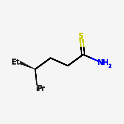 CC[C@H](CCC(N)=S)C(C)C